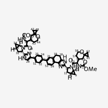 COC(=O)NC(C(=O)N1[C@@H]2C[C@@H]2C[C@H]1c1nc2c([nH]1)CCc1cc(-c3ccc(-c4c[nH]c([C@@H]5C[C@H]6C[C@H]6N5C(=O)C(NC(=O)O)C5CCOC6(CC6)C5)n4)cc3)ccc1-2)C1CCOC2(CC2)C1